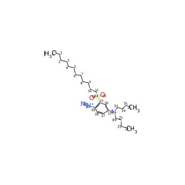 CCCCCCCCCCCCS(=O)(=O)c1cc(N(CCCC)CCCC)ccc1[N+]#N